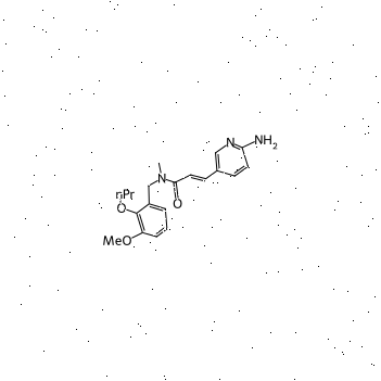 CCCOc1c(CN(C)C(=O)C=Cc2ccc(N)nc2)cccc1OC